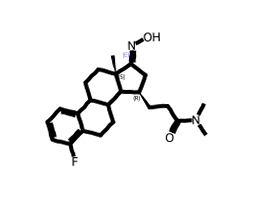 CN(C)C(=O)CC[C@@H]1C/C(=N\O)[C@@]2(C)CCC3c4cccc(F)c4CCC3C12